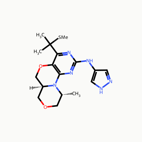 CSC(C)(C)c1nc(Nc2cn[nH]c2)nc2c1OC[C@@H]1COC[C@@H](C)N21